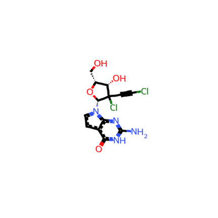 Nc1nc2c(ccn2[C@@H]2O[C@H](CO)[C@H](O)C2(Cl)C#CCl)c(=O)[nH]1